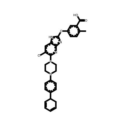 Cc1ccc(Oc2nc3nc(N4CCN(c5ccc(C6C=CC=CC6)cc5)CC4)c(Cl)cc3[nH]2)cc1C(=O)O